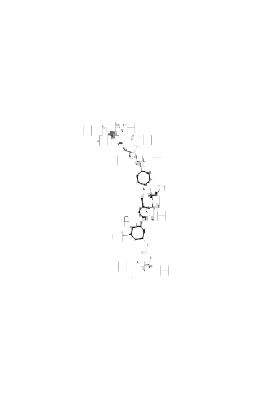 C[C@H](N)CCCc1cc(Cl)c(F)c(-c2cc3cn(-c4ccc([C@H](C)N[C@H](CO)CCNC(=N)N)cc4)c(=O)nc3[nH]2)c1